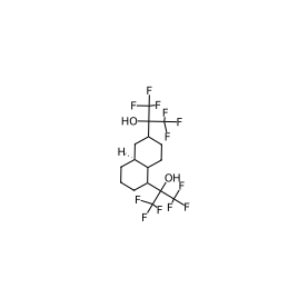 OC(C1CCC2C(C(O)(C(F)(F)F)C(F)(F)F)CCC[C@H]2C1)(C(F)(F)F)C(F)(F)F